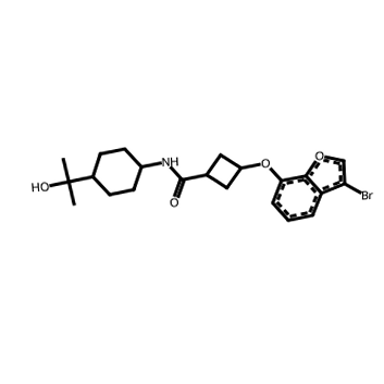 CC(C)(O)C1CCC(NC(=O)C2CC(Oc3cccc4c(Br)coc34)C2)CC1